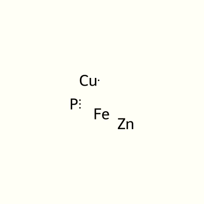 [Cu].[Fe].[P].[Zn]